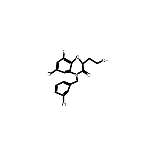 O=C1C(CCO)Oc2c(Cl)cc(Cl)cc2N1Cc1cccc(Cl)c1